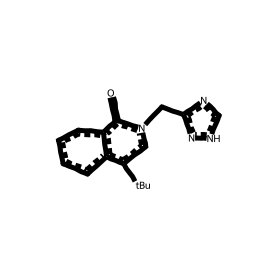 CC(C)(C)c1cn(Cc2nc[nH]n2)c(=O)c2ccccc12